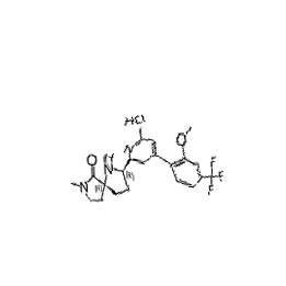 COc1cc(C(F)(F)F)ccc1-c1cc(C)nc([C@H]2CC[C@]3(CCN(C)C3=O)N2)c1.Cl